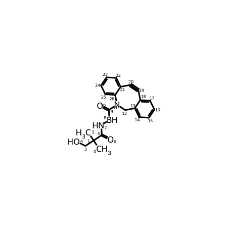 CC(C)(CO)C(=O)NBC(=O)N1Cc2ccccc2C#Cc2ccccc21